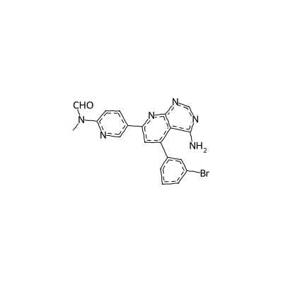 CN(C=O)c1ccc(-c2cc(-c3cccc(Br)c3)c3c(N)ncnc3n2)cn1